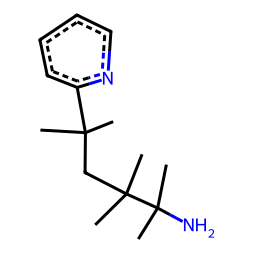 CC(C)(CC(C)(C)C(C)(C)N)c1ccccn1